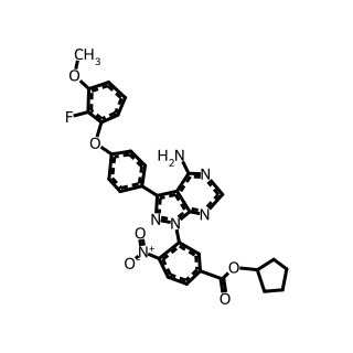 COc1cccc(Oc2ccc(-c3nn(-c4cc(C(=O)OC5CCCC5)ccc4[N+](=O)[O-])c4ncnc(N)c34)cc2)c1F